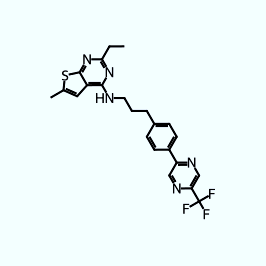 CCc1nc(NCCCc2ccc(-c3cnc(C(F)(F)F)cn3)cc2)c2cc(C)sc2n1